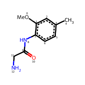 COc1cc(C)ccc1NC(=O)CN